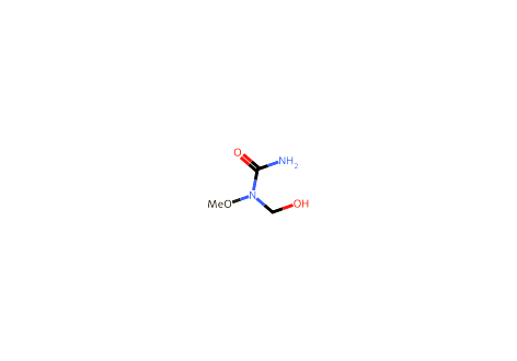 CON(CO)C(N)=O